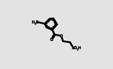 Bc1cccc(C(=O)OCCS(=O)(=O)O)c1